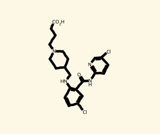 O=C(O)CCCN1CCC(CNc2ccc(Cl)cc2C(=O)Nc2ccc(Cl)cn2)CC1